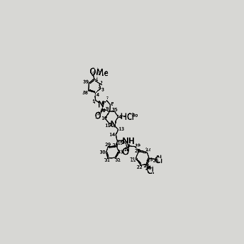 COc1ccc(CN2CCC3(CCN(CCC(NC(=O)Cc4ccc(Cl)c(Cl)c4)c4ccccc4)CC3)C2=O)cc1.Cl